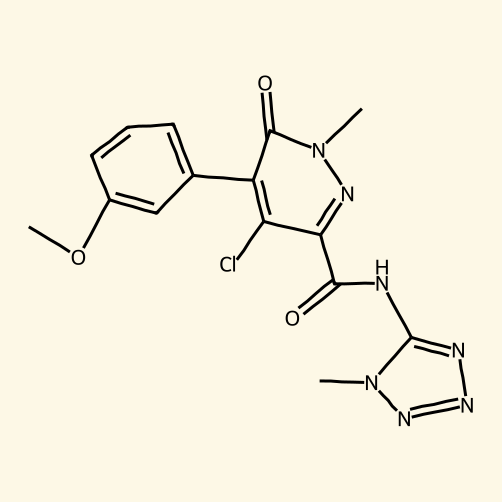 COc1cccc(-c2c(Cl)c(C(=O)Nc3nnnn3C)nn(C)c2=O)c1